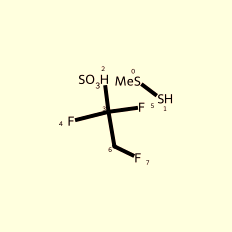 CSS.O=S(=O)(O)C(F)(F)CF